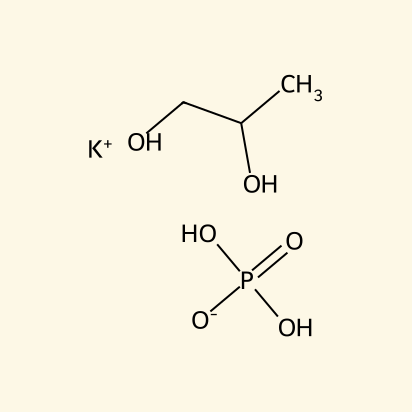 CC(O)CO.O=P([O-])(O)O.[K+]